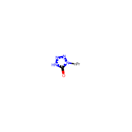 C[CH]Cn1nn[nH]c1=O